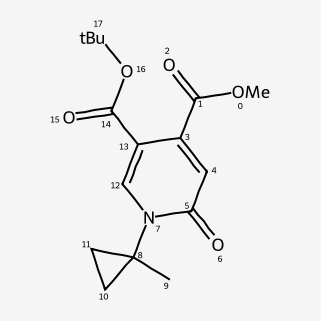 COC(=O)c1cc(=O)n(C2(C)CC2)cc1C(=O)OC(C)(C)C